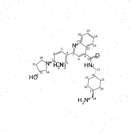 C=C(/C=C\C(=C/N)c1cc(C(=O)NC[C@H]2CC[C@H](CN)CC2)c2ccccc2n1)N1CC[C@@H](O)C1